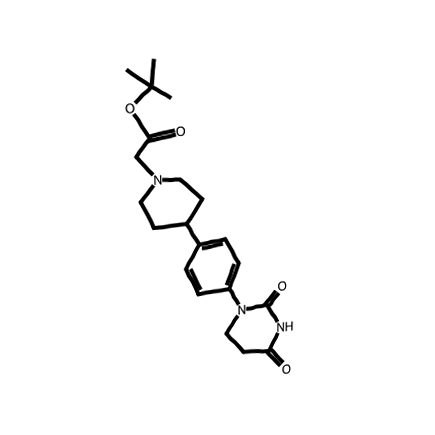 CC(C)(C)OC(=O)CN1CCC(c2ccc(N3CCC(=O)NC3=O)cc2)CC1